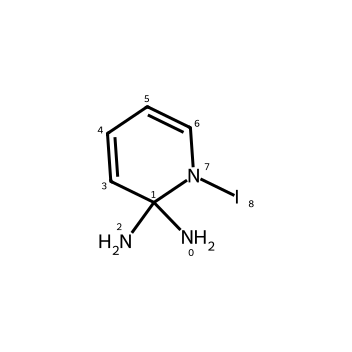 NC1(N)C=CC=CN1I